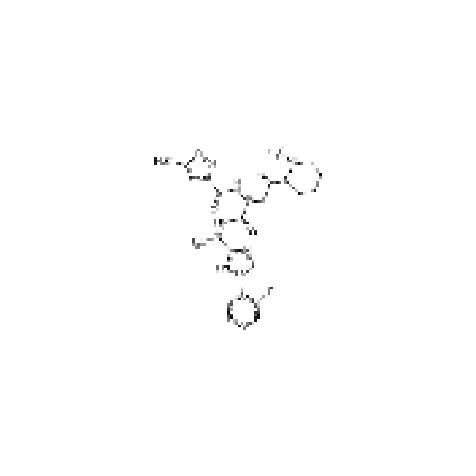 Cc1cc(C(=O)N[C@@H](CC(=O)N2CCCC[C@@H]2C)C(=O)N[C@@H](C)c2ncc(-c3ccccc3F)[nH]2)no1